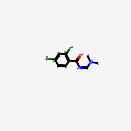 CN(C)/C=N\C(=O)c1ccc(Br)cc1F